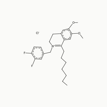 CCCCCCCC1=[N+](Cc2ccc(F)c(F)c2)CCc2cc(OC)c(OC)cc21.[Cl-]